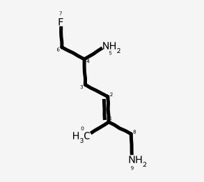 C/C(=C\CC(N)CF)CN